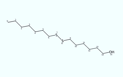 CCCCCCCSSCCCCCCO